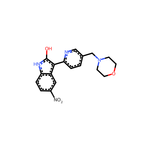 O=[N+]([O-])c1ccc2[nH]c(O)c(-c3ccc(CN4CCOCC4)cn3)c2c1